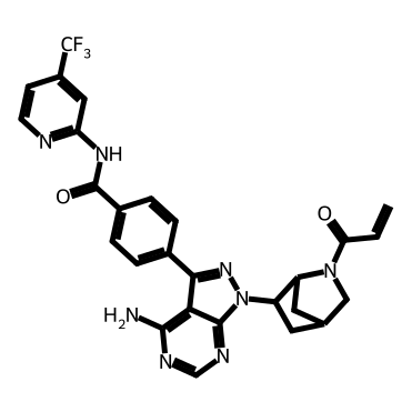 C=CC(=O)N1CC2CC1C(n1nc(-c3ccc(C(=O)Nc4cc(C(F)(F)F)ccn4)cc3)c3c(N)ncnc31)C2